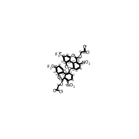 O=C(Cl)COC(=O)c1c([N+](=O)[O-])ccc(Oc2ccc([N+](=O)[O-])c(C(=O)OCC(=O)Cl)c2-c2ccc(C(F)(F)F)cc2Cl)c1-c1ccc(C(F)(F)F)cc1Cl